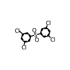 O=S(=O)(c1cc(Cl)cc(Cl)c1)c1cc(Cl)cc(Cl)c1